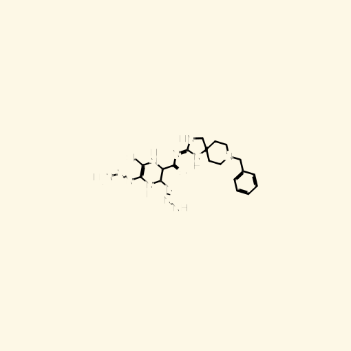 NN=NC1=C(Cl)NC(C(=O)/N=C2/NCC3(CCN(Cc4ccccc4)CC3)N2)C(N=NN)N1